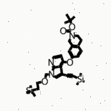 CC(C)(C)OC(=O)N1CCc2ccc(Oc3ccnc4c3c(C#C[Si](C)(C)C)cn4COCC[Si](C)(C)C)cc2C1